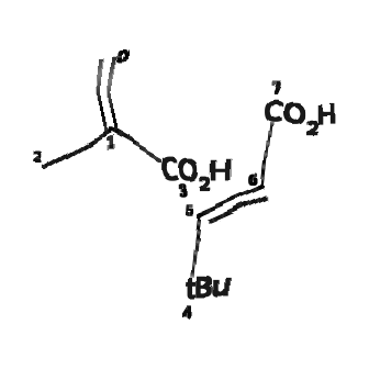 C=C(C)C(=O)O.CC(C)(C)C=CC(=O)O